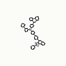 c1ccc(-c2cccc(N(c3ccc(-c4ccc(-c5cc6ccccc6c6oc(-c7ccccc7)nc56)cc4)cc3)c3ccc(-c4cc5ccccc5c5ccccc45)cc3)c2)cc1